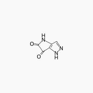 O=C1Nc2cn[nH]c2C1=O